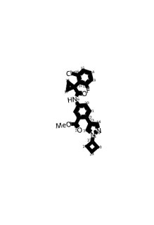 COC(=O)c1cc(NC(=O)C2(c3c(F)cccc3Cl)CC2)ccc1-c1cnn(C2CCC2)c1